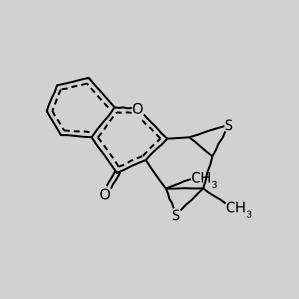 CC12SC1(C)C1SC1c1oc3ccccc3c(=O)c12